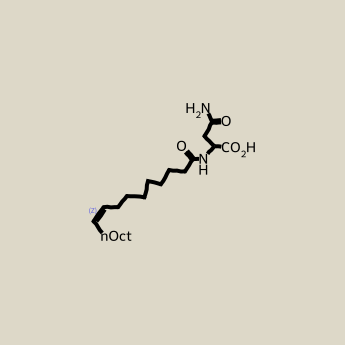 CCCCCCCC/C=C\CCCCCCCC(=O)NC(CC(N)=O)C(=O)O